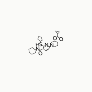 O=C(NC1CCCCC1)c1ccc(N2CCCC(OC(=O)C3CC3)C2)nc1SC1CCCC1